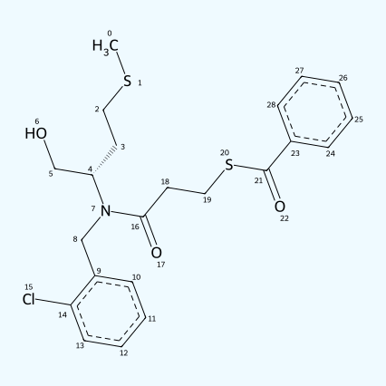 CSCC[C@@H](CO)N(Cc1ccccc1Cl)C(=O)CCSC(=O)c1ccccc1